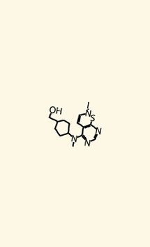 CN(c1ncnc2c1C=CN(I)S2)C1CCC(CO)CC1